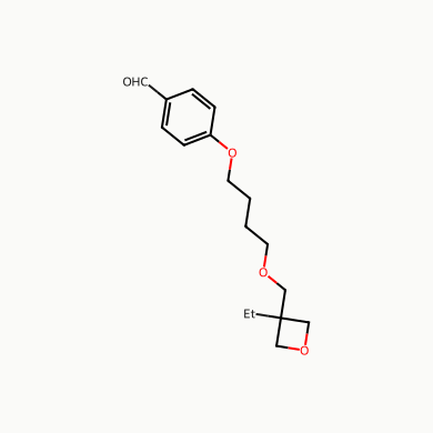 CCC1(COCCCCOc2ccc(C=O)cc2)COC1